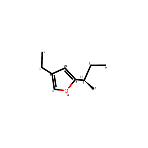 CCc1coc([C@H](C)CC)c1